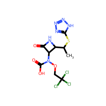 CC(Sc1nnn[nH]1)C1NC(=O)C1N(OCC(Cl)(Cl)Cl)C(=O)O